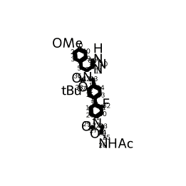 COc1ccc(CC(c2c[nH]nn2)N(Cc2ccc(-c3ccc(N4C[C@H](CNC(C)=O)OC4=O)cc3F)cc2)C(=O)OC(C)(C)C)cc1